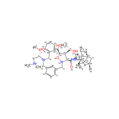 CC(C)C[C@@H](CN(C)C)N(Cc1cccc(CN2O[C@@H](CO)[C@@H]([C@H](C)O)[C@H]2C(=O)N[C@H]2C[C@H]3C[C@@H]([C@@H]2C)C3(C)C)c1)Cc1c(O)cccc1F